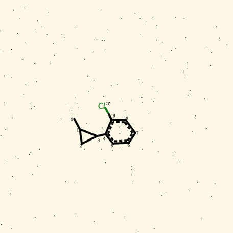 CC1CC1c1ccccc1Cl